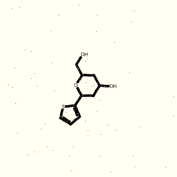 OCC1CC(O)CC(c2cccs2)O1